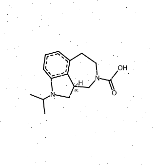 CC(C)N1C[C@@H]2CN(C(=O)O)CCc3cccc1c32